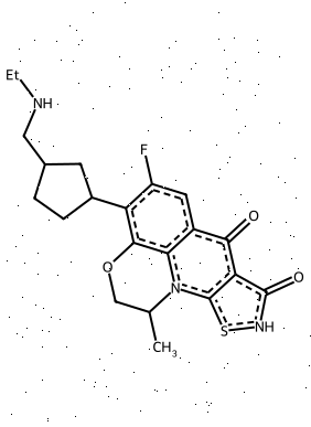 CCNCC1CCC(c2c(F)cc3c(=O)c4c(=O)[nH]sc4n4c3c2OCC4C)C1